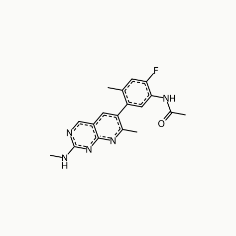 CNc1ncc2cc(-c3cc(NC(C)=O)c(F)cc3C)c(C)nc2n1